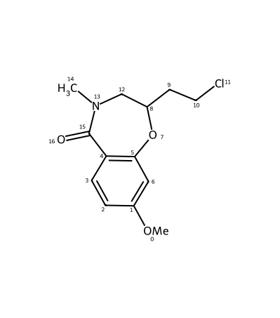 COc1ccc2c(c1)OC(CCCl)CN(C)C2=O